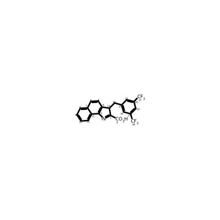 O=C(O)C1=Nc2c(ccc3ccccc23)C1Cc1cc(C(F)(F)F)cc(C(F)(F)F)c1